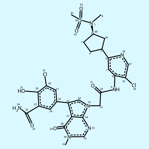 CN([C@@H]1CCC(c2cc(NC(=O)Cn3cc(-c4cc(Cl)c(O)c(C(N)=O)c4)c4c(=O)n(C)cnc43)c(Cl)cn2)C1)S(C)(=O)=O